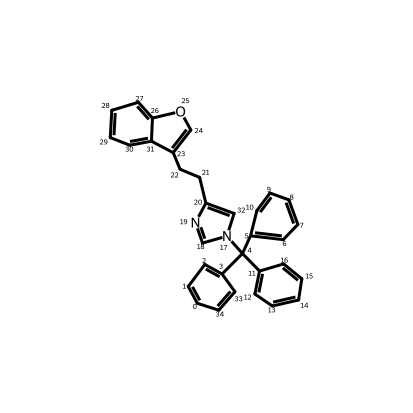 c1ccc(C(c2ccccc2)(c2ccccc2)n2cnc(CCc3coc4ccccc34)c2)cc1